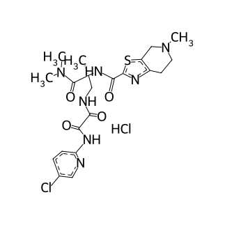 CN1CCc2nc(C(=O)N[C@@](C)(CNC(=O)C(=O)Nc3ccc(Cl)cn3)C(=O)N(C)C)sc2C1.Cl